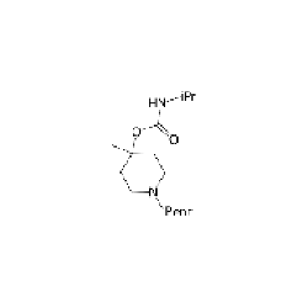 CCCC(C)N1CCC(C)(OC(=O)NC(C)C)CC1